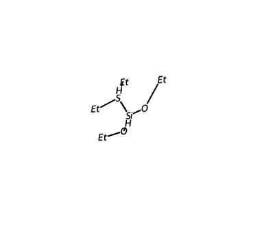 CCO[SiH](OCC)[SH](CC)CC